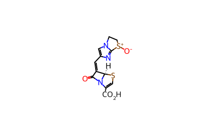 O=C(O)C1=CS[C@@H]2/C(=C\c3cn4c(n3)[S+]([O-])CC4)C(=O)N12